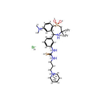 CCCC1(CCC)CS(=O)(=O)c2ccc(N(C)C)cc2C(c2cccc(NC(=S)NCCC[N+]34CCC(CC3)CC4)c2)N1.[Br-]